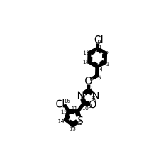 Clc1ccc(COc2noc(-c3sccc3Cl)n2)cc1